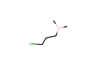 CB(C)CCCCl